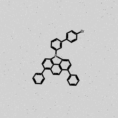 Brc1ccc(-c2cccc(-n3c4ccc(-c5ccccc5)c5ccc6c(-c7ccccc7)ccc3c6c54)c2)cc1